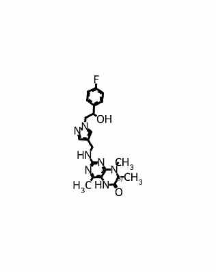 Cc1nc(NCc2cnn(CC(O)c3ccc(F)cc3)c2)nc2c1NC(=O)[C@H](C)N2C